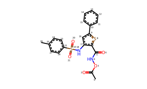 CC(=O)ONC(=O)c1sc(-c2ccccc2)cc1NS(=O)(=O)c1ccc(C)cc1